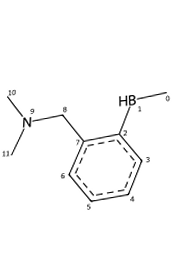 CBc1ccccc1CN(C)C